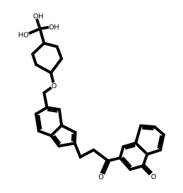 O=C(CCC1=CC2C=C(COC3CCC(C(O)(O)O)CC3)C=CC2=C1)C1=CC(=O)C2C=CC=CC2=C1